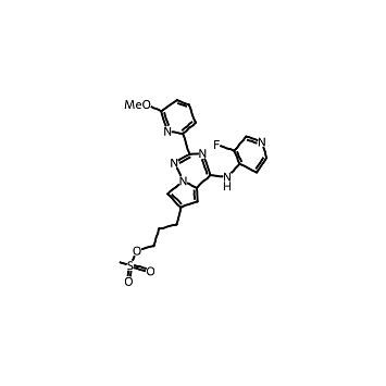 COc1cccc(-c2nc(Nc3ccncc3F)c3cc(CCCOS(C)(=O)=O)cn3n2)n1